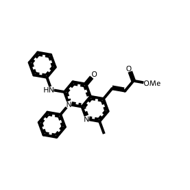 COC(=O)/C=C/c1cc(C)nc2c1c(=O)cc(Nc1ccccc1)n2-c1ccccc1